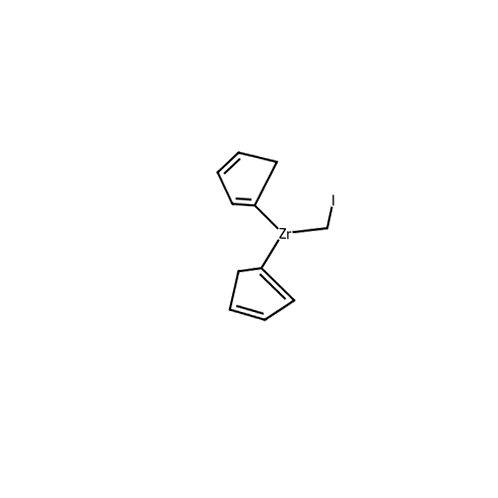 I[CH2][Zr]([C]1=CC=CC1)[C]1=CC=CC1